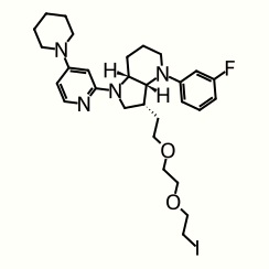 Fc1cccc(N2CCC[C@@H]3[C@H]2[C@H](CCOCCOCCI)CN3c2cc(N3CCCCC3)ccn2)c1